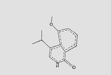 COc1cccc2c(=O)[nH]cc(C(C)C)c12